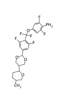 CC1CCC(C2COC(c3cc(F)c(C(F)(F)Oc4cc(F)c(P)c(F)c4)c(F)c3)OC2)OC1